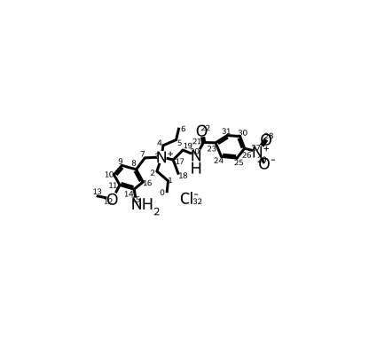 CCC[N+](CCC)(Cc1ccc(OC)c(N)c1)C(C)CNC(=O)c1ccc([N+](=O)[O-])cc1.[Cl-]